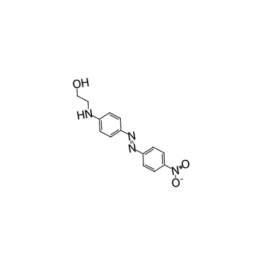 O=[N+]([O-])c1ccc(/N=N/c2ccc(NCCO)cc2)cc1